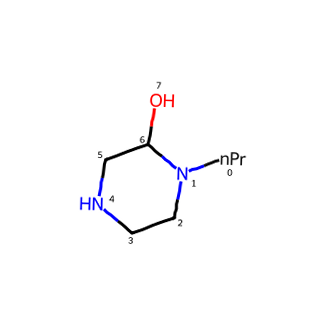 CCCN1CCNCC1O